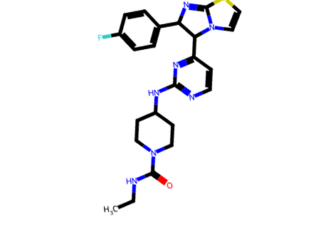 CCNC(=O)N1CCC(Nc2nccc(C3C(c4ccc(F)cc4)N=C4SC=CN43)n2)CC1